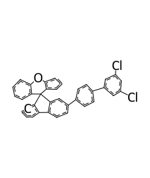 Clc1cc(Cl)cc(-c2ccc(-c3ccc4c(c3)C3(c5ccccc5Oc5ccccc53)c3ccccc3-4)cc2)c1